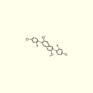 COc1cc2cc(-c3ccc(Cl)cc3F)c(OC)cc2cc1-c1ccc(Cl)cc1F